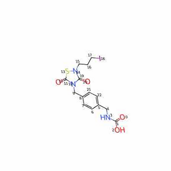 O=C(O)NCc1ccc(Cn2c(=O)sn(CCCI)c2=O)cc1